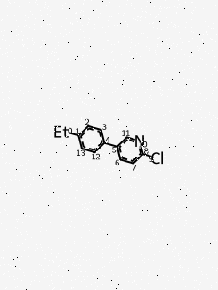 CCc1ccc(-c2ccc(Cl)nc2)cc1